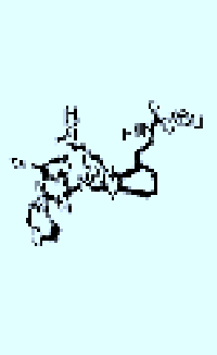 C[SiH](C)CCOCn1c(CNc2nc(N3CCOCC3)nc3c(Br)cnn23)nc2cccc(CCNC(=O)OC(C)(C)C)c21